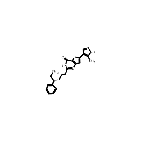 Cc1[nH]ncc1-c1cc2nc(CCC[C@@H](CN)c3ccccc3)[nH]c(=O)c2s1